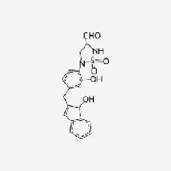 O=CC1CN(c2ccc(CC3=Cc4ccccc4C3O)cc2O)S(=O)(=O)N1